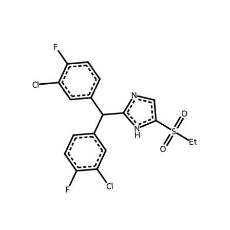 CCS(=O)(=O)c1cnc(C(c2ccc(F)c(Cl)c2)c2ccc(F)c(Cl)c2)[nH]1